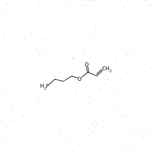 C=CC(=O)OCCCP